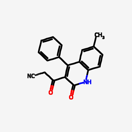 Cc1ccc2[nH]c(=O)c(C(=O)CC#N)c(-c3ccccc3)c2c1